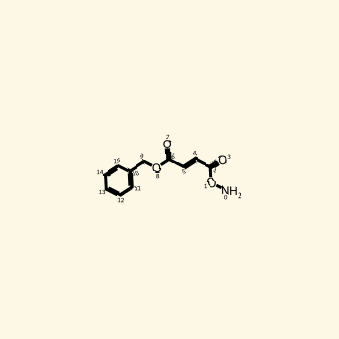 NOC(=O)C=CC(=O)OCc1ccccc1